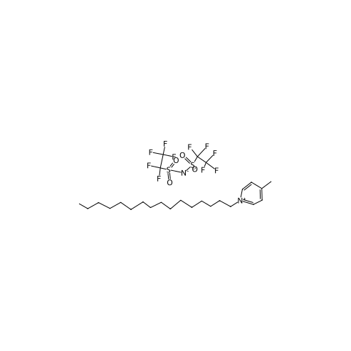 CCCCCCCCCCCCCCCC[n+]1ccc(C)cc1.O=S(=O)([N-]S(=O)(=O)C(F)(F)C(F)(F)F)C(F)(F)C(F)(F)F